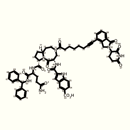 NC(=O)CCC(NC(=O)[C@@H]1CC[C@@H]2CCN(C(=O)CCCCCC#Cc3cccc4c3CN(C3CCC(=O)NC3=O)C4=O)C[C@H](NC(=O)c3cc4cc(C(=O)O)ccc4[nH]3)C(=O)N21)C(=O)NC(c1ccccc1)c1ccccc1